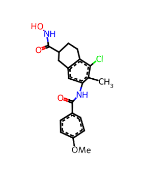 COc1ccc(C(=O)Nc2cc3c(c(Cl)c2C)CCC(C(=O)NO)C3)cc1